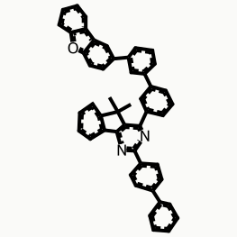 CC1(C)c2ccccc2-c2nc(-c3ccc(-c4ccccc4)cc3)nc(-c3cccc(-c4cccc(-c5ccc6oc7ccccc7c6c5)c4)c3)c21